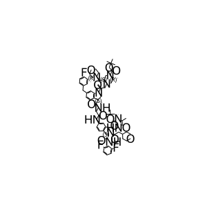 CC(C(=O)NC(C(=O)N1Cc2cc(NC(=O)CNC(=O)[C@]3(C)CN(C(=O)CN4C[C@@H](C)N(C(=O)OC(C)(C)C)C[C@@H]4CN4CCOC[C@H]4C)c4cc(Cc5ccc(F)cc5)ccc43)ccc2[C@H]1C(=O)Nc1c(F)cccc1F)C1CCOCC1)N(C)C(=O)OC(C)(C)C